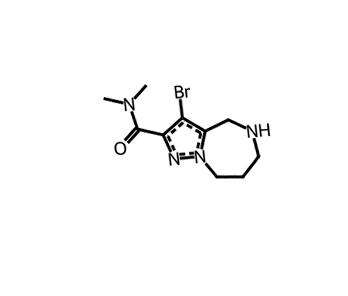 CN(C)C(=O)c1nn2c(c1Br)CNCCC2